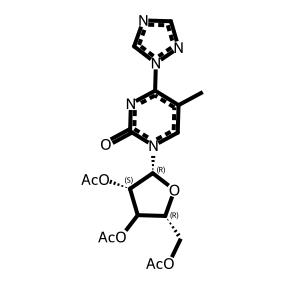 CC(=O)OC[C@H]1O[C@@H](n2cc(C)c(-n3cncn3)nc2=O)[C@@H](OC(C)=O)C1OC(C)=O